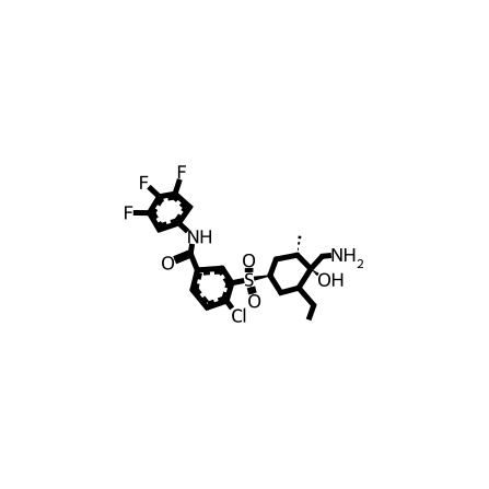 CCC1C[C@@H](S(=O)(=O)c2cc(C(=O)Nc3cc(F)c(F)c(F)c3)ccc2Cl)C[C@H](C)[C@@]1(O)CN